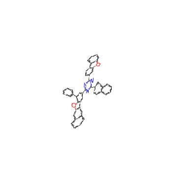 c1ccc(-c2cc(-c3nc(-c4ccc5ccccc5c4)nc(-c4ccc5c(c4)oc4ccccc45)n3)cc3c2oc2cc4ccccc4cc23)cc1